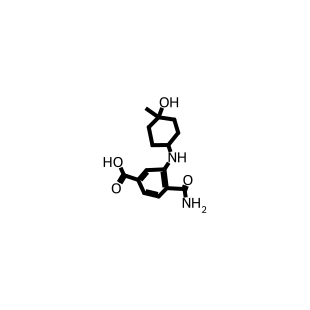 CC1(O)CCC(Nc2cc(C(=O)O)ccc2C(N)=O)CC1